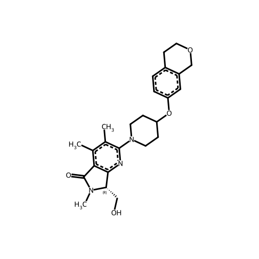 Cc1c(N2CCC(Oc3ccc4c(c3)COCC4)CC2)nc2c(c1C)C(=O)N(C)[C@H]2CO